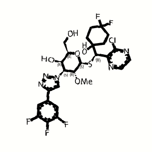 CO[C@@H]1[C@@H](n2cc(-c3cc(F)c(F)c(F)c3)nn2)[C@@H](O)[C@@H](CO)O[C@H]1S[C@H](c1nccnc1Cl)C1(O)CCC(F)(F)CC1